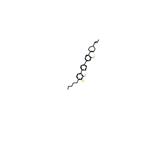 C/C=C/C1CC=C(c2ccc(-c3ccc(-c4ccc(CCCCC)c(F)c4F)cc3)cc2F)CC1